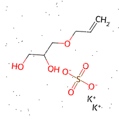 C=CCOCC(O)CO.O=S(=O)([O-])[O-].[K+].[K+]